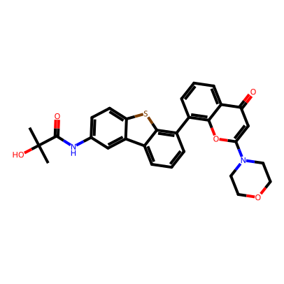 CC(C)(O)C(=O)Nc1ccc2sc3c(-c4cccc5c(=O)cc(N6CCOCC6)oc45)cccc3c2c1